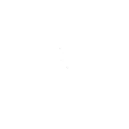 O=Cc1ccc(N2CC3C(C2)C3(F)F)nc1Cl